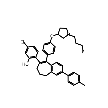 Cc1ccc(-c2ccc3c(c2)CCCC(c2ccc(Cl)cc2O)=C3c2ccc(OC3CCN(CCCF)C3)cc2)cc1